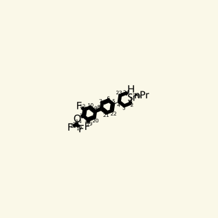 CCC[Si@H]1CC[C@H](c2ccc(-c3cc(F)c(OC(F)F)c(F)c3)cc2)CC1